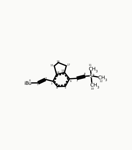 CCC(C)C#Cc1ccc(C#CS(C)(C)C)c2c1CCC2